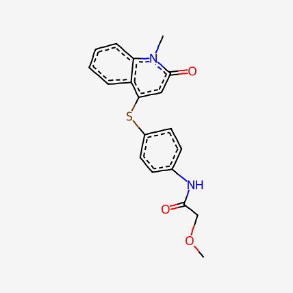 COCC(=O)Nc1ccc(Sc2cc(=O)n(C)c3ccccc23)cc1